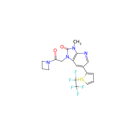 Cn1c(=O)n(CC(=O)N2CCC2)c2cc(C3=CC=C[SH]3C(F)(F)C(F)(F)F)cnc21